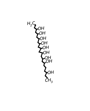 C=CCC(O)CC(O)CC(O)CC(O)CC(O)CC(O)CC(O)CC(O)CCCC(O)CCC